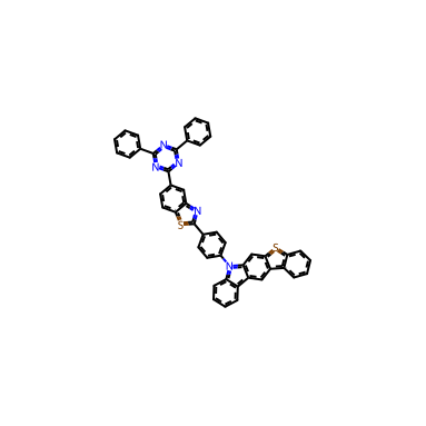 c1ccc(-c2nc(-c3ccccc3)nc(-c3ccc4sc(-c5ccc(-n6c7ccccc7c7cc8c(cc76)sc6ccccc68)cc5)nc4c3)n2)cc1